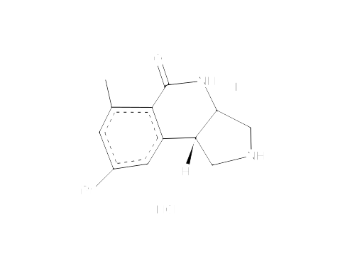 Cc1cc(C(C)C)cc2c1C(=O)N[C@H]1CNC[C@H]21.Cl